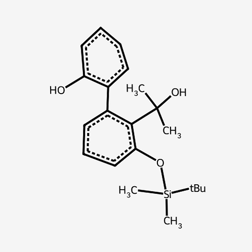 CC(C)(O)c1c(O[Si](C)(C)C(C)(C)C)cccc1-c1ccccc1O